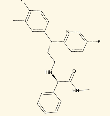 CNC(=O)[C@H](NCC[C@H](c1ccc(F)c(C)c1)c1ccc(F)cn1)c1ccccc1